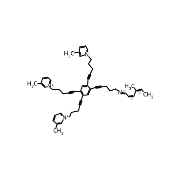 C\C=C(C)/C=C\C=N\CCCC#Cc1cc(C#CCCC[n+]2cccc(C)c2)c(C#CCCC[n+]2cccc(C)c2)cc1C#CCCC[n+]1cccc(C)c1